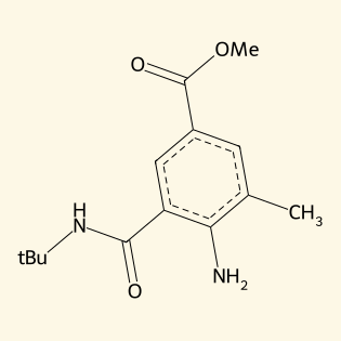 COC(=O)c1cc(C)c(N)c(C(=O)NC(C)(C)C)c1